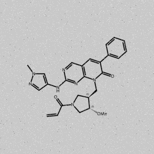 C=CC(=O)N1C[C@@H](Cn2c(=O)c(-c3ccccc3)cc3cnc(Nc4cnn(C)c4)nc32)[C@H](OC)C1